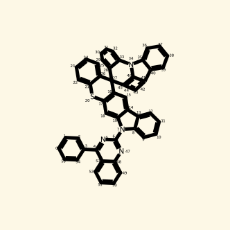 c1ccc(-c2nc(-n3c4ccccc4c4cc5c(cc43)Sc3ccccc3C53c4ccccc4-n4c5ccccc5c5cccc3c54)nc3ccccc23)cc1